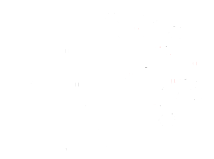 CC(C)CCCC(C)CCCC(C)CCCC(C)CCOCC(COC(OC(COC(=O)c1ccccc1)[C@H](C)OC(OC(CO)[C@@H](C)O)[C@H](COC(=O)c1ccccc1)OC(=O)c1ccccc1)[C@H](COC(=O)c1ccccc1)OC(=O)c1ccccc1)OCCC(C)CCCC(C)CCCC(C)CCCC(C)C